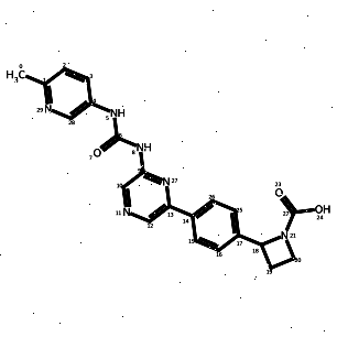 Cc1ccc(NC(=O)Nc2cncc(-c3ccc(C4CCN4C(=O)O)cc3)n2)cn1